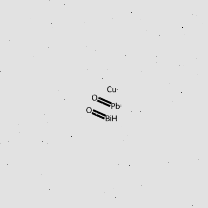 [Cu].[O]=[BiH].[O]=[Pb]